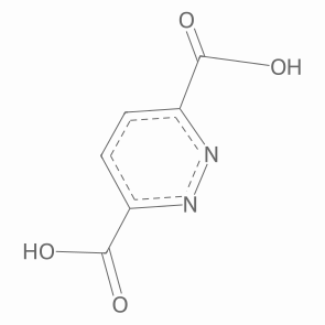 O=C(O)c1ccc(C(=O)O)nn1